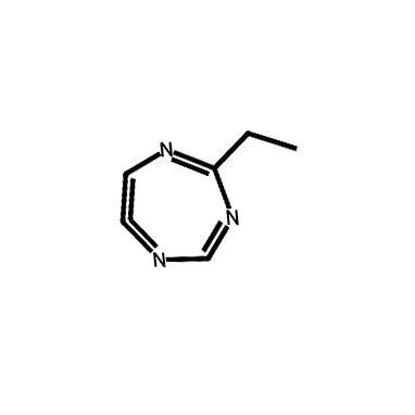 CCC1=NC=C=NC=N1